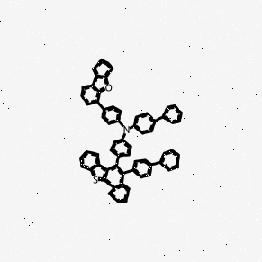 c1ccc(-c2ccc(-c3c(-c4ccc(N(c5ccc(-c6ccccc6)cc5)c5ccc(-c6cccc7c6oc6ccccc67)cc5)cc4)c4c5ccccc5sc4c4ccccc34)cc2)cc1